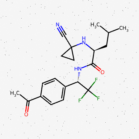 CC(=O)c1ccc([C@H](NC(=O)[C@H](CC(C)C)NC2(C#N)CC2)C(F)(F)F)cc1